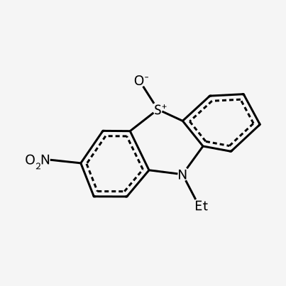 CCN1c2ccccc2[S+]([O-])c2cc([N+](=O)[O-])ccc21